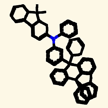 CC1(C)C2CC=CC=C2C2=CC=C(N(c3ccccc3)c3cccc(C4(C5C=CC=CC5)c5ccccc5C5(c6ccccc6)c6ccccc6-c6cccc4c65)c3)CC21